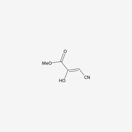 COC(=O)C(O)=CC#N